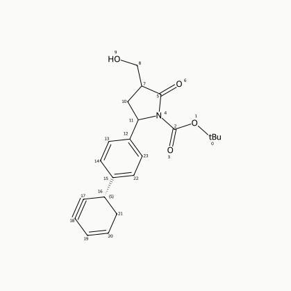 CC(C)(C)OC(=O)N1C(=O)C(CO)CC1c1ccc([C@H]2C#CC=CC2)cc1